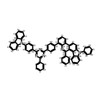 c1ccc(-c2nc(-c3ccc(-c4cccc5c4nc(-c4ccccc4)c4c5ccc5c4c4ccccc4n5-c4ccccc4)cc3)nc(-c3ccc(-n4c5ccccc5c5ccccc54)cc3)n2)cc1